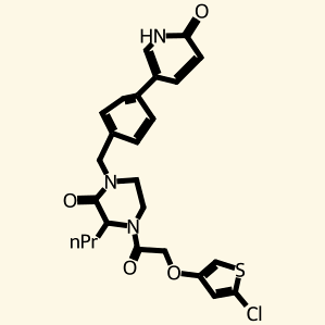 CCCC1C(=O)N(Cc2ccc(-c3ccc(=O)[nH]c3)cc2)CCN1C(=O)COc1csc(Cl)c1